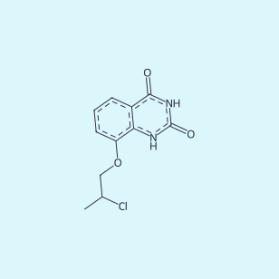 CC(Cl)COc1cccc2c(=O)[nH]c(=O)[nH]c12